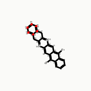 Fc1c2ccccc2c(F)c2cc3nc4c(nc3cc12)C1c2ccccc2C4c2ccccc21